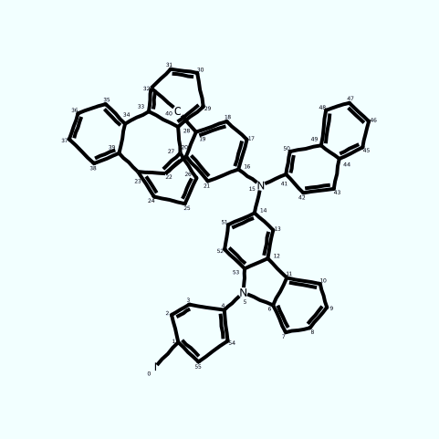 Ic1ccc(-n2c3ccccc3c3cc(N(c4ccc5c(c4)-c4c6cccc4-c4cccc(c4-c4ccccc4-6)C5)c4ccc5ccccc5c4)ccc32)cc1